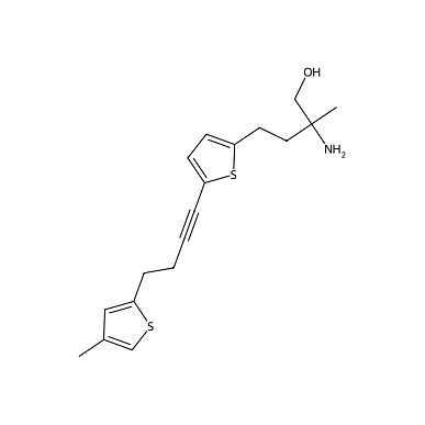 Cc1csc(CCC#Cc2ccc(CCC(C)(N)CO)s2)c1